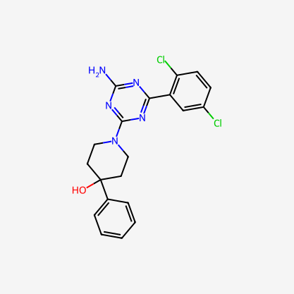 Nc1nc(-c2cc(Cl)ccc2Cl)nc(N2CCC(O)(c3ccccc3)CC2)n1